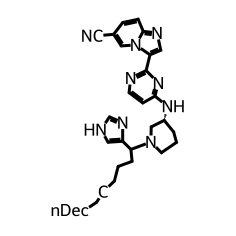 CCCCCCCCCCCCCCCC(c1c[nH]cn1)N1CCC[C@@H](Nc2ccnc(-c3cnc4ccc(C#N)cn34)n2)C1